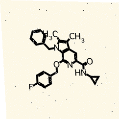 Cc1c(C)n(Cc2ccccc2)c2c(OCc3ccc(F)cc3)nc(C(=O)NC3CC3)cc12